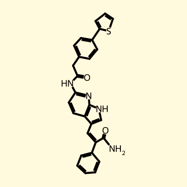 NC(=O)C(=Cc1c[nH]c2nc(NC(=O)Cc3ccc(-c4cccs4)cc3)ccc12)c1ccccc1